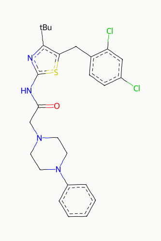 CC(C)(C)c1nc(NC(=O)CN2CCN(c3ccccc3)CC2)sc1Cc1ccc(Cl)cc1Cl